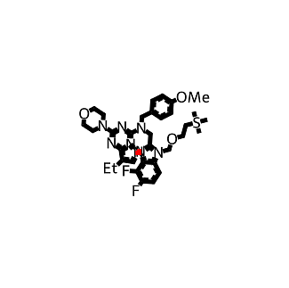 CCc1cnn2c(N(Cc3ccc(OC)cc3)Cc3nc4c(F)c(F)ccc4n3COCCS(C)(C)C)nc(N3CCOCC3)nc12